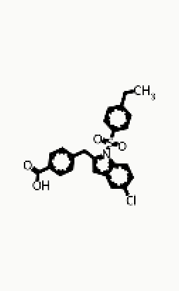 CCc1ccc(S(=O)(=O)n2c(Cc3ccc(C(=O)O)cc3)cc3cc(Cl)ccc32)cc1